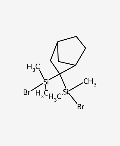 C[Si](C)(Br)C1([Si](C)(C)Br)CC2CCC1C2